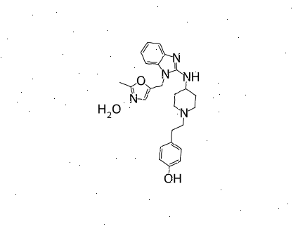 Cc1ncc(Cn2c(NC3CCN(CCc4ccc(O)cc4)CC3)nc3ccccc32)o1.O